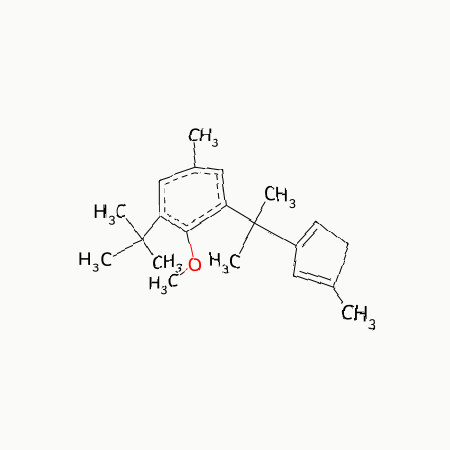 COc1c(C(C)(C)C)cc(C)cc1C(C)(C)C1=CCC(C)=C1